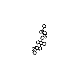 c1ccc(-c2coc3c2ccc2sc4cc(-c5c6ccccc6c(-c6cccc7c6ccc6oc8ccccc8c67)c6ccccc56)ccc4c23)cc1